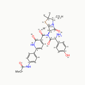 COC(=O)Nc1ccc(-c2ccc(C(=O)N(C(=O)C(N)c3ccc(O)cc3)[C@@H]3C(=O)N4[C@@H]3SC(C)(C)[C@@H]4C(=O)O)c(=O)[nH]2)cc1